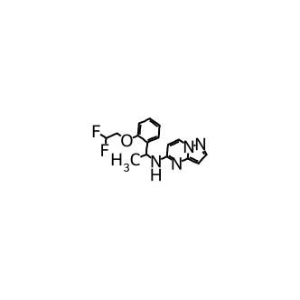 CC(Nc1ccn2nccc2n1)c1ccccc1OCC(F)F